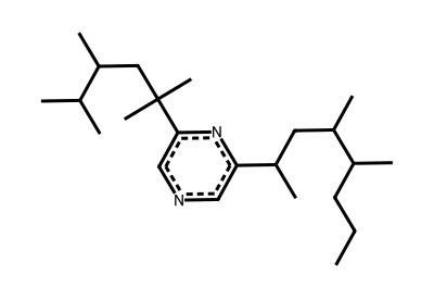 CCCC(C)C(C)CC(C)c1cncc(C(C)(C)CC(C)C(C)C)n1